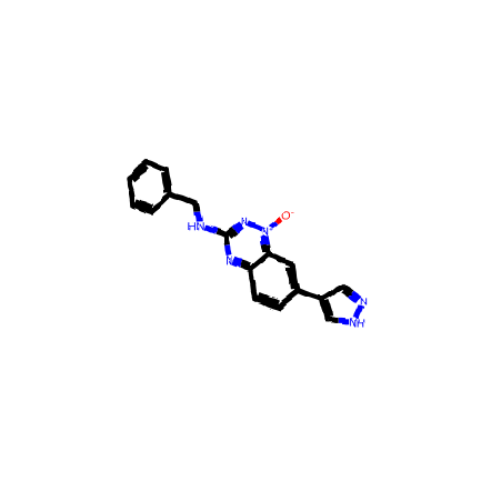 [O-][n+]1nc(NCc2ccccc2)nc2ccc(-c3cn[nH]c3)cc21